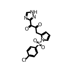 O=C(Cc1cccn1S(=O)(=O)c1ccc(Cl)cc1)C(=O)c1nc[nH]n1